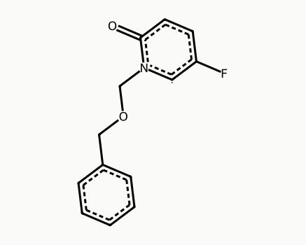 O=c1ccc(F)[c]n1COCc1ccccc1